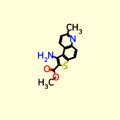 COC(=O)c1sc2ccc3nc(C)ccc3c2c1N